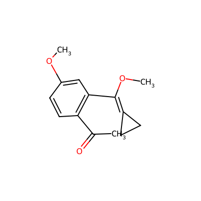 COC(=C1CC1)c1cc(OC)ccc1C(C)=O